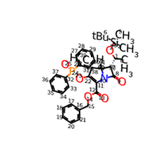 CC(O[Si](C)(C)C(C)(C)C)[C@@H]1C(=O)N2C(C(=O)OCc3ccccc3)=C(OP(=O)(c3ccccc3)c3ccccc3)[C@H](C)[C@H]12